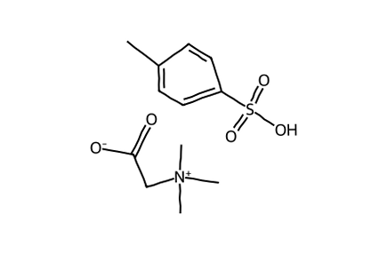 C[N+](C)(C)CC(=O)[O-].Cc1ccc(S(=O)(=O)O)cc1